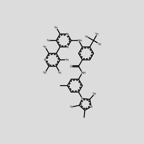 [2H]c1nc(Nc2cc(C(=O)Nc3cc(C)cc(-n4c([2H])nc(C)c4[2H])c3)ccc2C([2H])([2H])[2H])nc(-c2c([2H])nc([2H])c([2H])c2[2H])c1[2H]